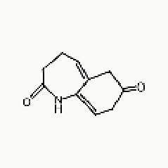 O=C1CC=C2NC(=O)CCC=C2C1